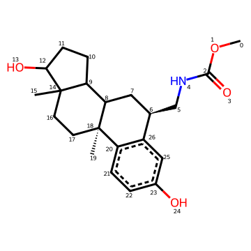 COC(=O)NC[C@@H]1CC2C3CCC(O)C3(C)CC[C@]2(C)c2ccc(O)cc21